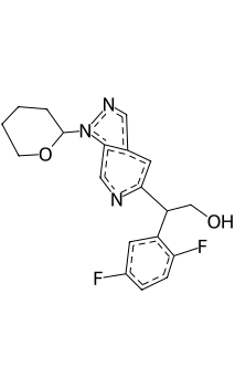 OCC(c1cc2cnn(C3CCCCO3)c2cn1)c1cc(F)ccc1F